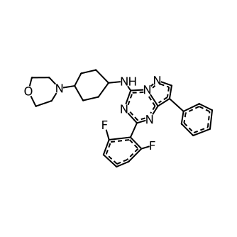 Fc1cccc(F)c1-c1nc(NC2CCC(N3CCOCC3)CC2)n2ncc(-c3ccccc3)c2n1